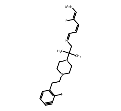 CN/C=C(F)/C=C\C=N/CC(C)(C)N1CCN(CCc2ccc#cc2F)CC1